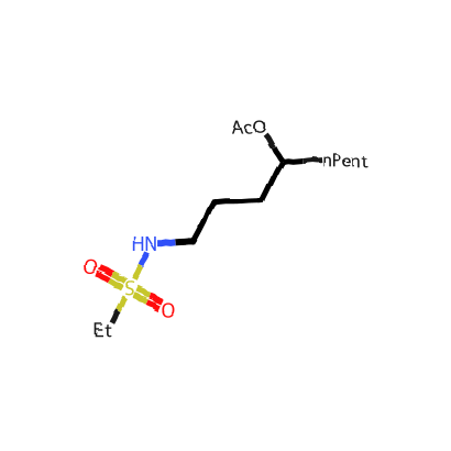 CCCCCC(CCCNS(=O)(=O)CC)OC(C)=O